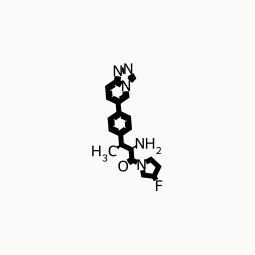 C[C@@H](c1ccc(-c2ccc3nncn3c2)cc1)[C@H](N)C(=O)N1CCC(F)C1